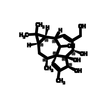 CC1=C[C@]23C(O)[C@@H](C=C(CO)[C@H](O)[C@]2(O)[C@H]1O)[C@H]1[C@@H](C[C@H]3C)C1(C)C